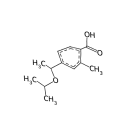 Cc1cc(C(C)OC(C)C)ccc1C(=O)O